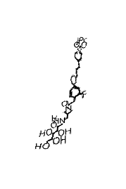 CC(C)OC(=O)N1CCC(CCCOc2ccc(CC(=O)N3CC(CNCC(O)C(O)C(O)C(O)CO)C3)c(F)c2)CC1